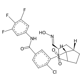 O=C(Nc1cc(F)c(F)c(F)c1)c1ccc(Cl)c(S(=O)(=O)[C@H]2C3CC[C@H]2C[C@H](/C=N/O)C3)c1